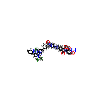 C[C@@H]1Cc2c([nH]c3ccccc23)[C@@H](c2ncc(C3=CCC(C(=O)N4CCC(N5Cc6cc7c(cc6C5)C(=O)N(C5CCC(=O)NC5=O)C7=O)CC4)CC3)cc2F)N1CC(F)F